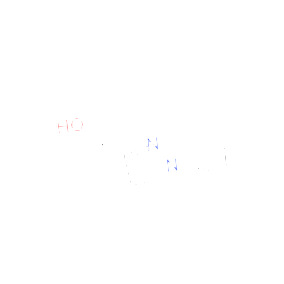 C#CC(C)(O)c1ccn(C2CC2)n1